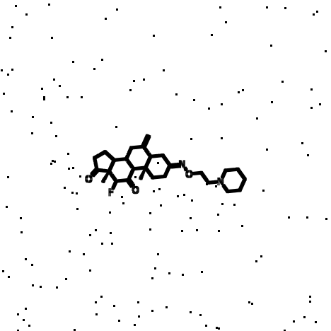 C=C1CC2C(C(=O)C(F)[C@]3(C)C(=O)CCC23)[C@@]2(C)CCC(=NOCCN3CCCCC3)CC12